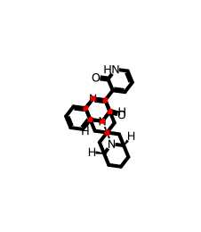 O=c1[nH]cccc1-c1nc2ccccc2n([C@H]2C[C@H]3CCC[C@@H](C2)N3[C@H]2C[C@@H]3CCC[C@@H](C3)C2)c1=O